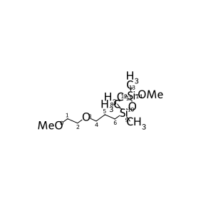 COCCOCCC[Si](C)(C)O[Si](C)(C)OC